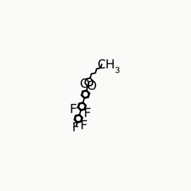 CCCCCC1COC(c2ccc(-c3cc(F)c(-c4ccc(F)c(F)c4)c(F)c3)cc2)OC1